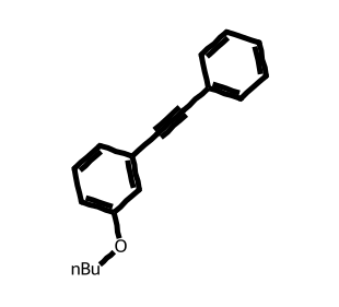 CCCCOc1cccc(C#Cc2ccccc2)c1